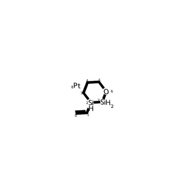 C=C[SiH]1CCCO[SiH2]1.[Pt]